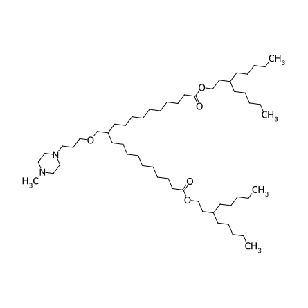 CCCCCC(CCCCC)CCOC(=O)CCCCCCCCCC(CCCCCCCCCC(=O)OCCC(CCCCC)CCCCC)COCCCN1CCN(C)CC1